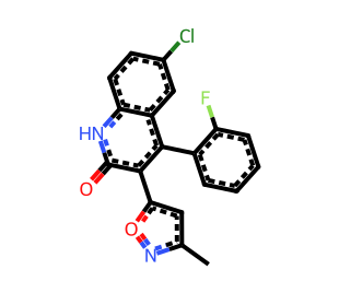 Cc1cc(-c2c(-c3ccccc3F)c3cc(Cl)ccc3[nH]c2=O)on1